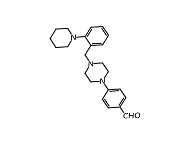 O=Cc1ccc(N2CCN(Cc3ccccc3N3CCCCC3)CC2)cc1